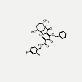 C[C@H]1CC[C@H](O)[C@H]2CN1C(=O)c1c(OCc3ccccc3)c(=O)c(C(=O)NCc3ccc(F)cc3F)cn12